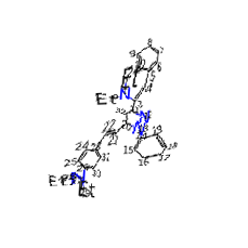 CCN(CC)C(=Cc1ccccc1)C1=NN(c2ccccc2)C(C=Cc2ccc(N(CC)CC)cc2)C1